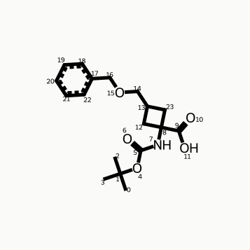 CC(C)(C)OC(=O)NC1(C(=O)O)CC(COCc2ccccc2)C1